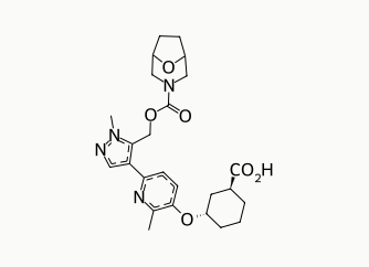 Cc1nc(-c2cnn(C)c2COC(=O)N2CC3CCC(C2)O3)ccc1O[C@H]1CCC[C@H](C(=O)O)C1